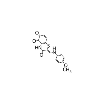 COc1ccc(NC=C2SC3=C(NC2=O)C(=O)C(=O)C=C3)cc1